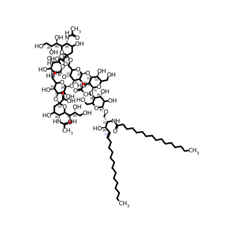 CCCCCCCCCCCCC/C=C/[C@@H](O)[C@H](CO[C@@H]1OC(CO)[C@@H](O[C@@H]2OC(CO)[C@H](O)[C@H](O[C@@H]3OC(CO[C@]4(C(=O)O)CC(O)[C@@H](NC(C)=O)C([C@H](O)[C@H](O)CO)O4)[C@@H](O[C@H]4OC(C)[C@@H](O)C(O)[C@@H]4O)[C@H](O[C@@H]4OC(CO)[C@H](O)[C@H](O[C@]5(C(=O)O)CC(O)[C@@H](NC(C)=O)C([C@H](O)[C@H](O)CO)O5)C4O)C3NC(C)=O)C2O)[C@H](O)C1O)NC(=O)CCCCCCCCCCCCCCC